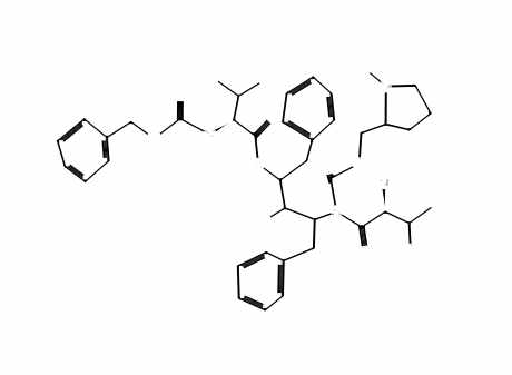 CC(C)[C@H](N)C(=O)N(C(=O)OCC1CCCN1C)C(Cc1ccccc1)C(O)C(Cc1ccccc1)NC(=O)[C@@H](NC(=O)OCc1ccccc1)C(C)C